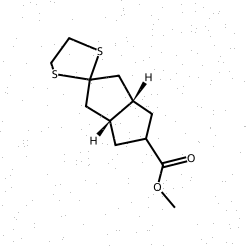 COC(=O)C1C[C@@H]2CC3(C[C@@H]2C1)SCCS3